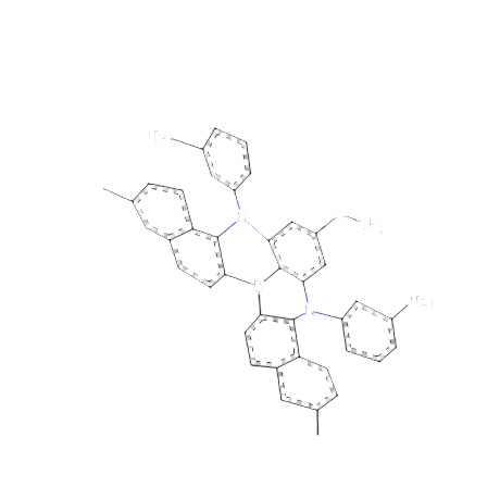 Cc1ccc2c3c(ccc2c1)B1c2ccc4cc(C)ccc4c2N(c2cccc(C(C)(C)C)c2)c2cc(SC(F)(F)F)cc(c21)N3c1cccc(C(C)(C)C)c1